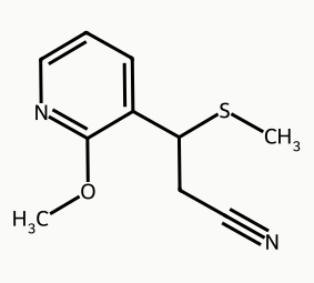 COc1ncccc1C(CC#N)SC